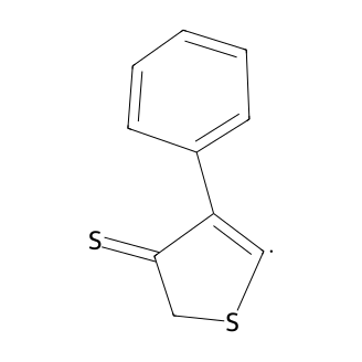 S=C1CS[C]=C1c1ccccc1